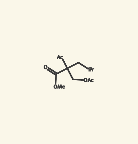 COC(=O)C(COC(C)=O)(CC(C)C)C(C)=O